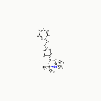 CC1(C)CC(c2ccc(CCC3C=CC=CC=C3)cc2)CC(C)(C)N1